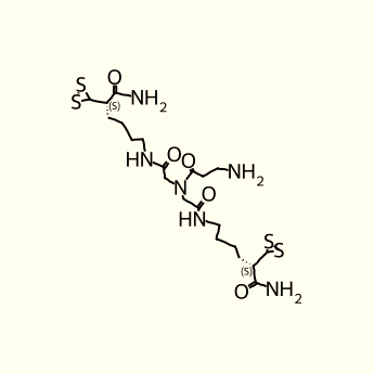 NCCC(=O)N(CC(=O)NCCCC[C@@H](C(N)=O)C1SS1)CC(=O)NCCCC[C@@H](C(N)=O)C1SS1